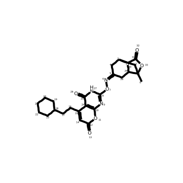 CC12CC3C/C(=N/Oc4nc5oc(=O)cc(CCC6CCCCC6)c5c(=O)[nH]4)CC1N3C(=O)O2